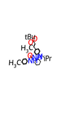 C/C(=C\C(=O)OC(C)(C)C)c1ccc(N(CC(C)C)C2CCCCC2)c(NC(=O)Nc2ccc(C)cc2)c1